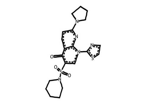 O=c1c(S(=O)(=O)N2CCCCC2)cn(-c2nccs2)c2nc(N3CCCC3)ccc12